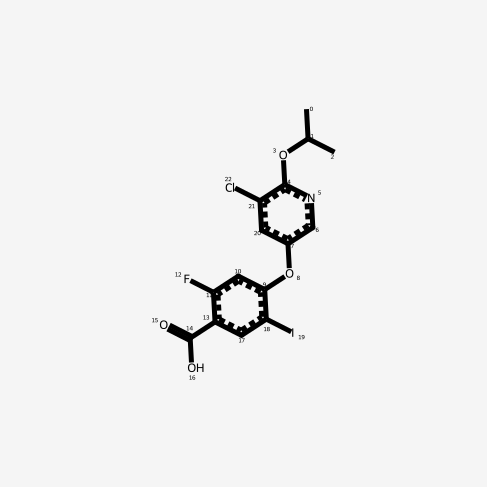 CC(C)Oc1ncc(Oc2cc(F)c(C(=O)O)cc2I)cc1Cl